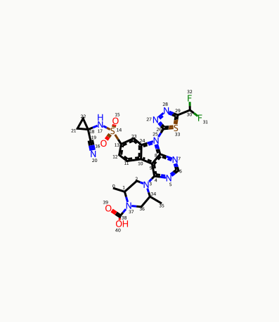 CC1CN(c2ncnc3c2c2ccc(S(=O)(=O)NC4(C#N)CC4)cc2n3-c2nnc(C(F)F)s2)C(C)CN1C(=O)O